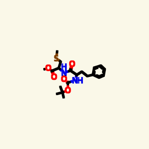 COC(=O)C(CSC)NC(=O)C(CCc1ccccc1)NC(=O)OC(C)(C)C